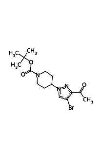 CC(=O)c1nn(C2CCN(C(=O)OC(C)(C)C)CC2)cc1Br